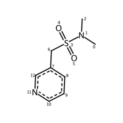 CN(C)S(=O)(=O)Cc1cccnc1